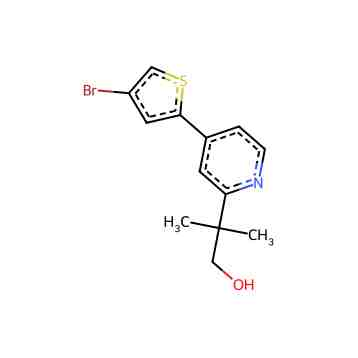 CC(C)(CO)c1cc(-c2cc(Br)cs2)ccn1